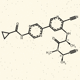 C[C@H](Nc1cc(-c2cnc(NC(=O)C3CC3)cn2)cnc1C#N)C(=O)N(C)[C@H](C)C#N